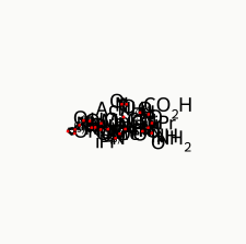 CC[C@H](C)[C@@H]([C@@H](CC(=O)N1CCC[C@H]1[C@H](OC)[C@@H](C)C(=O)N[C@H](C)[C@@H](O)c1ccccc1)OC)N(C)C(=O)[C@@H](NC(=O)[C@H](C(C)C)N(C)C(=O)OC(C(=O)NCCCCCN1C(=O)C=CC1=O)c1ccc(NC(=O)[C@H](CCCNC(N)=O)NC(=O)[C@@H](NC(=O)[C@H](CCC(=O)O)NC(=O)[C@H](CCC(=O)O)NC(C)=O)C(C)C)cc1)C(C)C